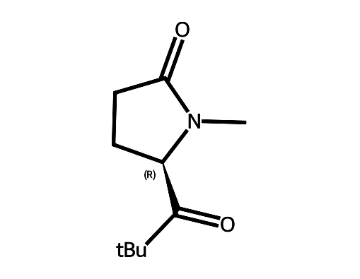 CN1C(=O)CC[C@@H]1C(=O)C(C)(C)C